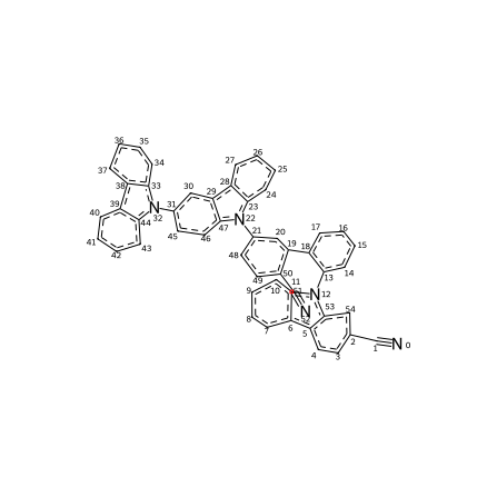 N#Cc1ccc2c3ccccc3n(-c3ccccc3-c3cc(-n4c5ccccc5c5cc(-n6c7ccccc7c7ccccc76)ccc54)ccc3C#N)c2c1